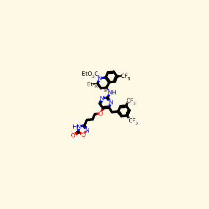 CCOC(=O)N1c2ccc(C(F)(F)F)cc2[C@@H](Nc2ncc(OCCCc3noc(=O)[nH]3)c(Cc3cc(C(F)(F)F)cc(C(F)(F)F)c3)n2)C[C@H]1CC